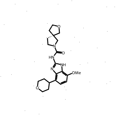 COc1ccc(C2CCOCC2)c2nc(NC(=O)N3CC[C@@]4(CCOC4)C3)[nH]c12